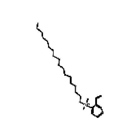 C=Cc1ccccc1[N+](C)(C)CCCCCCCCCCCCCCCCCC